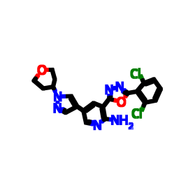 Nc1ncc(-c2cnn(C3CCOCC3)c2)cc1-c1nnc(-c2c(Cl)cccc2Cl)o1